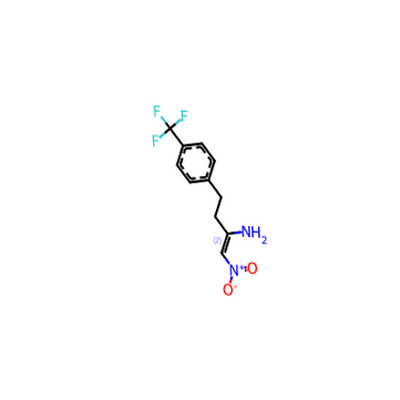 N/C(=C\[N+](=O)[O-])CCc1ccc(C(F)(F)F)cc1